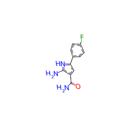 NC(=O)c1cc(-c2ccc(F)cc2)[nH]c1N